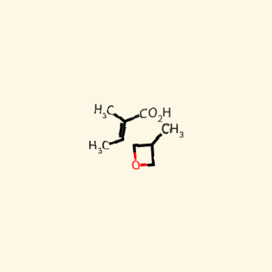 CC1COC1.CC=C(C)C(=O)O